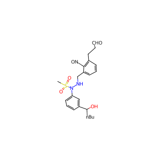 CCCCC(O)c1cccc(N(NCc2cccc(CCC=O)c2N=O)S(C)(=O)=O)c1